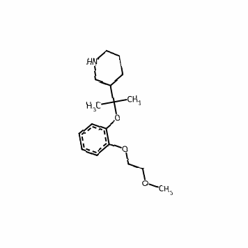 COCCOc1ccccc1OC(C)(C)C1CCCNC1